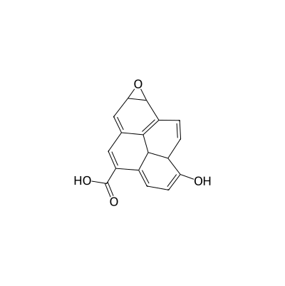 O=C(O)C1=CC2=CC3OC3C3=C2C2C1=CC=C(O)C2C=C3